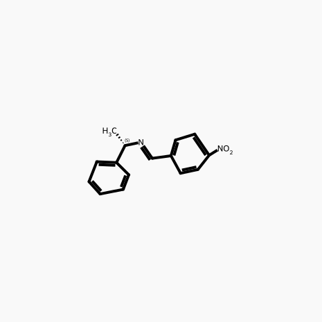 C[C@H](N=Cc1ccc([N+](=O)[O-])cc1)c1ccccc1